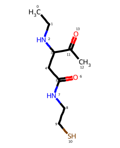 CCNC(CC(=O)NCCS)C(C)=O